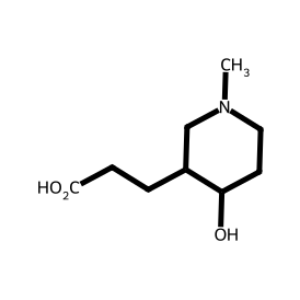 CN1CCC(O)C(CCC(=O)O)C1